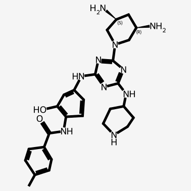 Cc1ccc(C(=O)Nc2ccc(Nc3nc(NC4CCNCC4)nc(N4C[C@H](N)C[C@H](N)C4)n3)cc2O)cc1